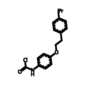 CC(C)c1ccc(CCOc2ccc(NC(=O)Cl)cc2)cc1